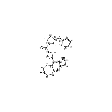 O=C(C1CN(c2c3c(nc4ccnn24)CCNCC3)C1)N1CC[C@H](Oc2ccccc2)C1